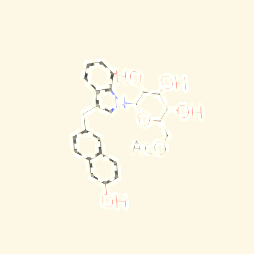 CC(=O)OC[C@H]1O[C@@H](n2cc(Cc3ccc4cc(O)ccc4c3)c3ccccc32)[C@H](O)[C@@H](O)[C@@H]1O